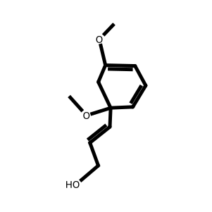 COC1=CC=CC(C=CCO)(OC)C1